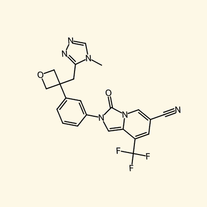 Cn1cnnc1CC1(c2cccc(-n3cc4c(C(F)(F)F)cc(C#N)cn4c3=O)c2)COC1